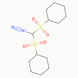 N#[N+]C(S(=O)(=O)C1CCCCC1)S(=O)(=O)C1CCCCC1